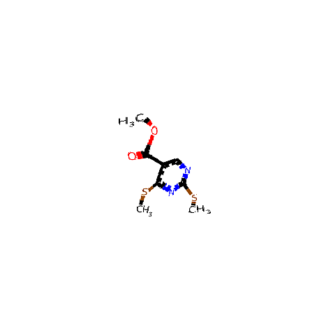 COC(=O)c1cnc(SC)nc1SC